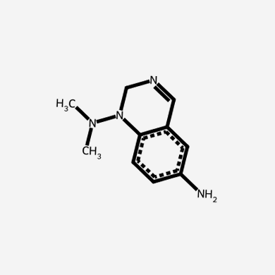 CN(C)N1CN=Cc2cc(N)ccc21